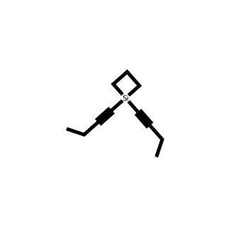 CCC#C[Si]1(C#CCC)CCC1